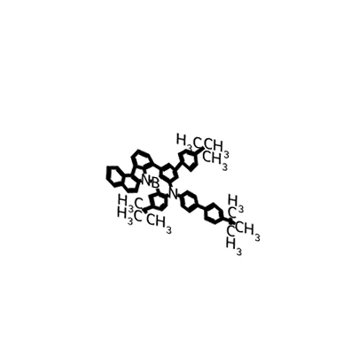 CC(C)(C)c1ccc(-c2ccc(N3c4ccc(C(C)(C)C)cc4B4c5c(cc(-c6ccc(C(C)(C)C)cc6)cc53)-c3cccc5c6c7ccccc7ccc6n4c35)cc2)cc1